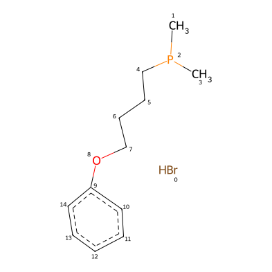 Br.CP(C)CCCCOc1ccccc1